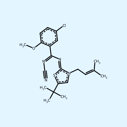 COc1ccc(Cl)cc1C(=NC#N)N=c1sc(C(C)(C)C)cn1CC=C(C)C